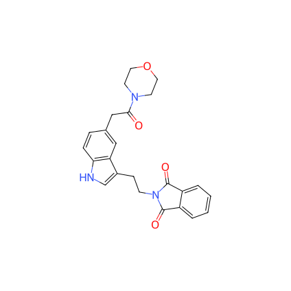 O=C(Cc1ccc2[nH]cc(CCN3C(=O)c4ccccc4C3=O)c2c1)N1CCOCC1